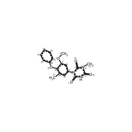 COc1cc(-n2c(=O)[nH]c(=O)n(C)c2=O)cc(C)c1Oc1ccccc1